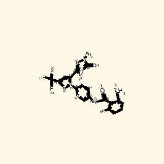 Cc1cccc(F)c1C(=O)Nc1ccc(-n2nc(C(F)(F)F)cc2-c2nn(C)c(=O)o2)nc1